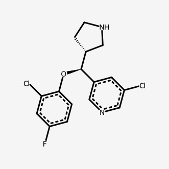 Fc1ccc(O[C@H](c2cncc(Cl)c2)[C@@H]2CCNC2)c(Cl)c1